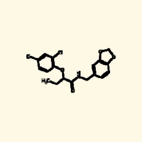 CCC(Oc1ccc(Cl)cc1Cl)C(=O)NCc1ccc2c(c1)OCO2